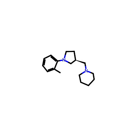 Cc1ccccc1N1CC[C@@H](CN2CCCCC2)C1